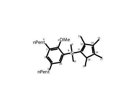 CCCCCc1cc(CCCCC)c(OC)c([Si](C)(C)C2=C(C)C(C)=C(C)C2C)c1